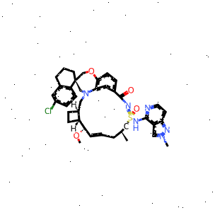 CO[C@H]1/C=C/C[C@H](C)CS(=O)(Nc2nccc3nn(C)cc23)=NC(=O)c2ccc3c(c2)N(C[C@@H]2CC[C@H]21)C[C@@]1(CCCc2cc(Cl)ccc21)CO3